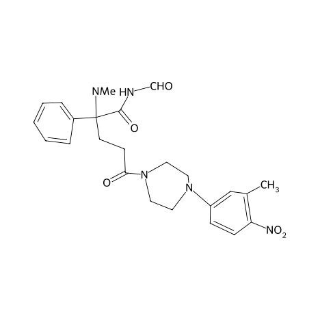 CNC(CCC(=O)N1CCN(c2ccc([N+](=O)[O-])c(C)c2)CC1)(C(=O)NC=O)c1ccccc1